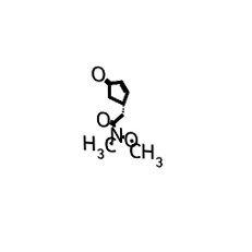 CON(C)C(=O)C[C@H]1C=CC(=O)C1